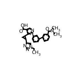 CCn1cc(C2CC2c2c(C(=O)O)cnn2-c2cccc(-c3cccc(C(=O)N(C)C)c3)c2)nn1